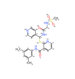 Cc1cc(C)cc(NC(=O)c2cccnc2SC(NC(=O)CNS(C)(=O)=O)c2ccncc2)c1